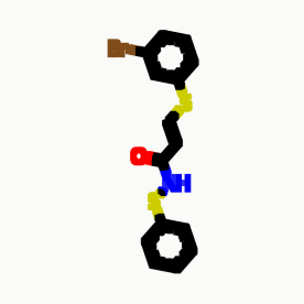 O=C(/C=C/Sc1cccc(Br)c1)NSc1ccccc1